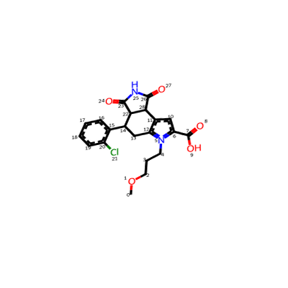 COCCCn1c(C(=O)O)cc2c1CC(c1ccccc1Cl)C1C(=O)NC(=O)C21